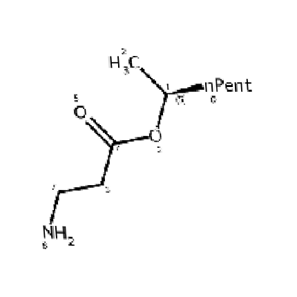 CCCCC[C@H](C)OC(=O)CCN